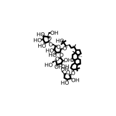 C[C@H](CC[C@@H](O[C@@H]1O[C@H](CO[C@H]2O[C@H](CO)[C@@H](O)[C@H](O)[C@H]2O)[C@@H](O)[C@H](O)[C@H]1O[C@@H]1O[C@H](CO)[C@@H](O)[C@H](O)[C@H]1O)C(C)(C)O)C1CC[C@@]2(C)C3CC=C4C(CC[C@H](O[C@@H]5O[C@H](CO)C[C@H](O)[C@H]5O)C4(C)C)[C@]3(C)CC[C@]12C